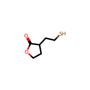 O=C1OCCC1CCS